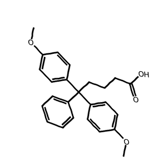 COc1ccc(C(CCCC(=O)O)(c2ccccc2)c2ccc(OC)cc2)cc1